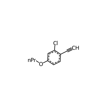 C#Cc1ccc(OCCC)cc1Cl